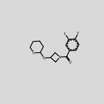 O=C(c1ccc(F)c(F)c1)N1CC(OC2CCCCO2)C1